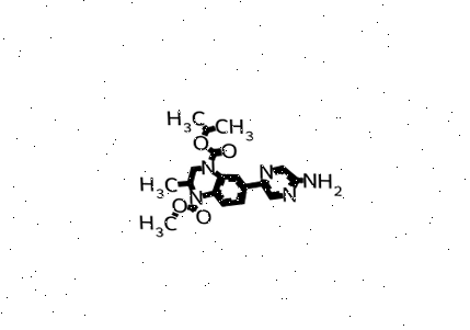 COC(=O)N1c2ccc(-c3cnc(N)cn3)cc2N(C(=O)OC(C)C)CC1C